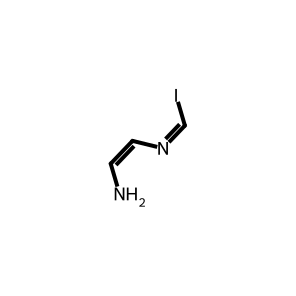 N/C=C\N=C/I